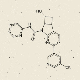 O=C(Nc1cnccn1)N1c2nc(-c3cncc(C(F)(F)F)c3)ccc2C2C[C@@H](O)C21